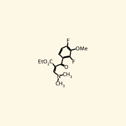 CCOC(=O)/C(=C/N(C)C)C(=O)c1ccc(F)c(OC)c1F